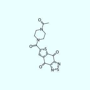 CC(=O)N1CCN(C(=O)c2cc3c(s2)C(=O)c2nsnc2C3=O)CC1